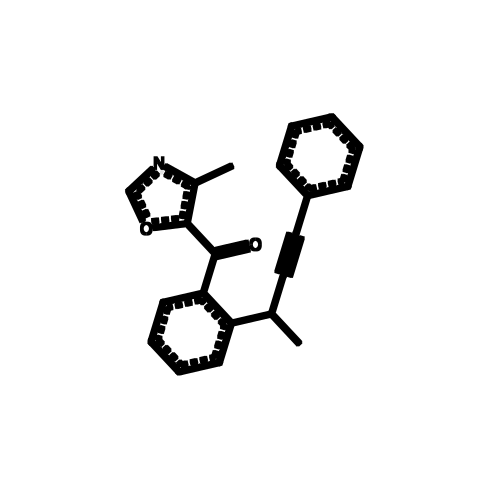 Cc1ncoc1C(=O)c1ccccc1C(C)C#Cc1ccccc1